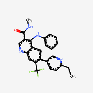 CCc1ccc(-c2cc3c(Nc4ccccc4)c(C(=O)NC)cnc3cc2C(F)(F)F)cn1